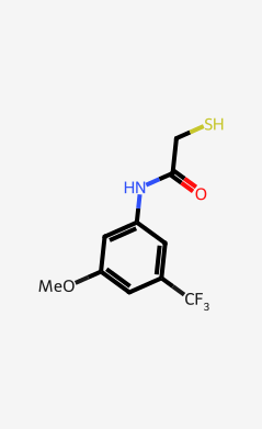 COc1cc(NC(=O)CS)cc(C(F)(F)F)c1